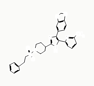 Cc1cccc(-c2[nH]c(C3CCN(S(=O)(=O)CCc4ccccc4)CC3)nc2-c2ccc3c(c2)OCO3)n1